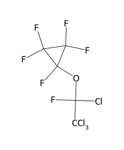 FC(Cl)(OC1(F)C(F)(F)C1(F)F)C(Cl)(Cl)Cl